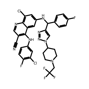 N#Cc1cnc2c(Cl)cc(NC(c3ccc(F)cc3)c3cn(C4CCN(CC(F)(F)F)CC4)nn3)cc2c1Nc1ccc(F)c(Cl)c1